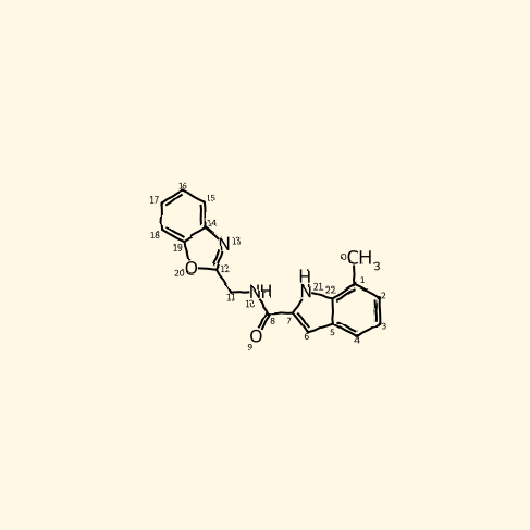 Cc1cccc2cc(C(=O)NCc3nc4ccccc4o3)[nH]c12